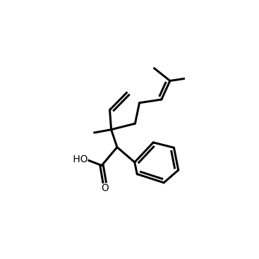 C=CC(C)(CCC=C(C)C)C(C(=O)O)c1ccccc1